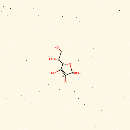 O=C1O[C@@H]([C@@H](O)CO)C(O)=C1O